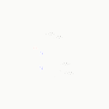 COc1ccc(CCN(C)CCCN2Cc3cc(OC)c(OC)cc3C2=O)cc1OC